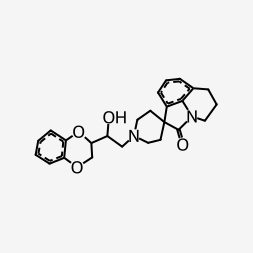 O=C1N2CCCc3cccc(c32)C12CCN(CC(O)C1COc3ccccc3O1)CC2